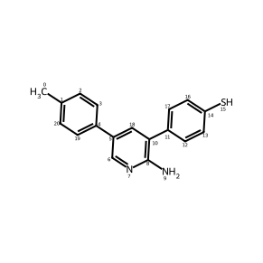 Cc1ccc(-c2cnc(N)c(-c3ccc(S)cc3)c2)cc1